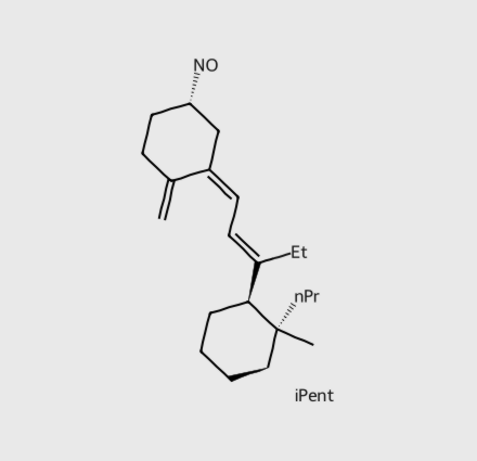 C=C1CC[C@H](N=O)C/C1=C/C=C(\CC)[C@@H]1CCC[C@H]([C@H](C)CCC)[C@@]1(C)CCC